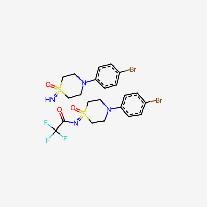 N=S1(=O)CCN(c2ccc(Br)cc2)CC1.O=C(N=S1(=O)CCN(c2ccc(Br)cc2)CC1)C(F)(F)F